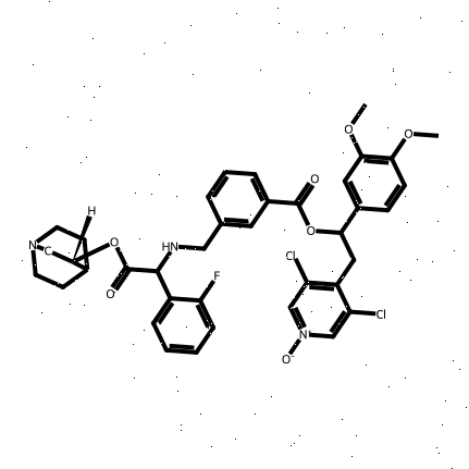 COc1ccc(C(Cc2c(Cl)c[n+]([O-])cc2Cl)OC(=O)c2cccc(CNC(C(=O)O[C@H]3CN4CCC3CC4)c3ccccc3F)c2)cc1OC